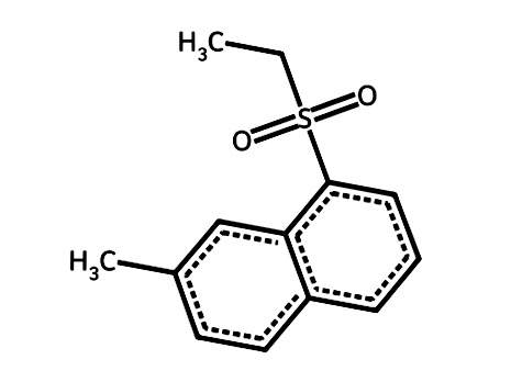 CCS(=O)(=O)c1cccc2ccc(C)cc12